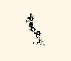 CC(C)(C)OC(=O)N1CCc2c(CN3CCC(c4ccc(NC5CCC(=O)NC5=O)cc4)C(F)(F)C3)cccc2C1